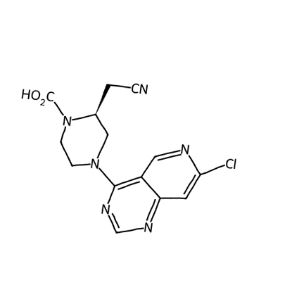 N#CC[C@H]1CN(c2ncnc3cc(Cl)ncc23)CCN1C(=O)O